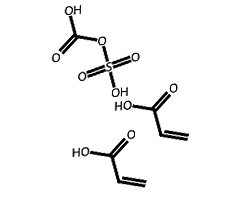 C=CC(=O)O.C=CC(=O)O.O=C(O)OS(=O)(=O)O